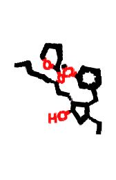 CCCCC[C@@H](CC[C@@H]1[C@@H](Cc2cccc(OC)c2)[C@@H](CC)C[C@H]1O)OC1CCCCO1